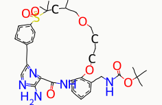 CC1COCCCCOc2c(CNC(=O)OC(C)(C)C)cccc2NC(=O)c2nc(cnc2N)-c2ccc(cc2)S(=O)(=O)C(C)(C)C1